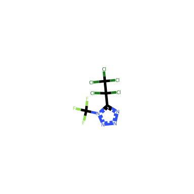 FC(F)(F)n1nnnc1C(Cl)(Cl)C(Cl)(Cl)Cl